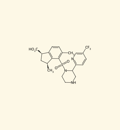 Cc1ccc2c(c1S(=O)(=O)N1CCNCC1c1ccc(C(F)(F)F)cn1)[C@@H](C)C[C@H]2C(=O)O